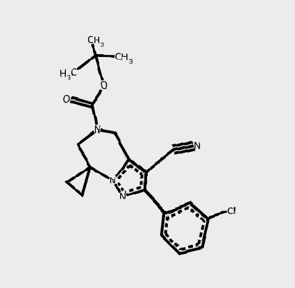 CC(C)(C)OC(=O)N1Cc2c(C#N)c(-c3cccc(Cl)c3)nn2C2(CC2)C1